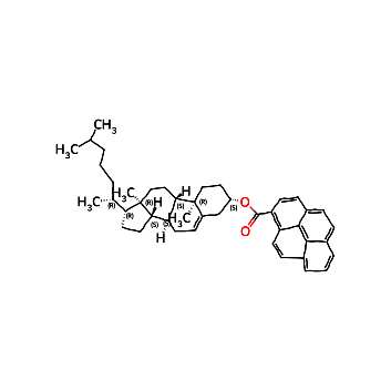 CC(C)CCC[C@@H](C)[C@H]1CC[C@H]2[C@@H]3CC=C4C[C@@H](OC(=O)c5ccc6ccc7cccc8ccc5c6c78)CC[C@]4(C)[C@H]3CC[C@]12C